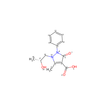 Cc1c(C(=O)O)c(=O)n(-c2ccccc2)n1C[C@@H](C)O